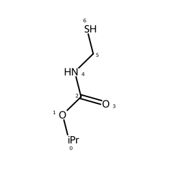 CC(C)OC(=O)NCS